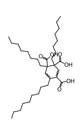 CCCCCCCCCC1=CC(CCCCCCCC)(C(=O)O)C(CCCCCCCC)(C(=O)O)C=C1C(=O)O